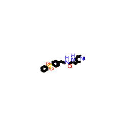 C=N/C=C\c1[nH]c(C(=O)NCCc2ccc(S(=O)(=O)c3ccccc3)cc2)cc1C